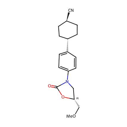 COC[C@H]1CN(c2ccc([C@H]3CC[C@H](C#N)CC3)cc2)C(=O)O1